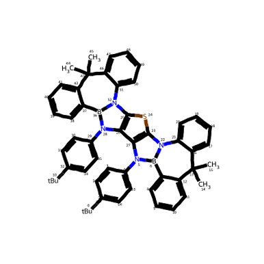 CC(C)(C)c1ccc(N2B3c4ccccc4C(C)(C)c4ccccc4N3c3sc4c(c32)N(c2ccc(C(C)(C)C)cc2)B2c3ccccc3C(C)(C)c3ccccc3N24)cc1